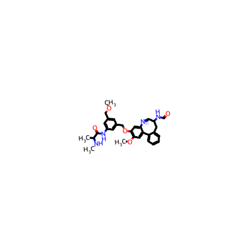 CNC(C)C(=O)Nc1cc(COC)cc(COc2cc3c(cc2OC)-c2ccccc2CC(NC=O)/C=N\3)c1